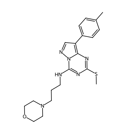 CSc1nc(NCCCN2CCOCC2)n2ncc(-c3ccc(C)cc3)c2n1